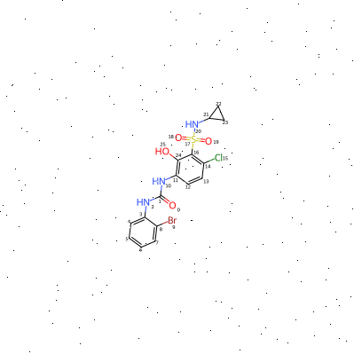 O=C(Nc1ccccc1Br)Nc1ccc(Cl)c(S(=O)(=O)NC2CC2)c1O